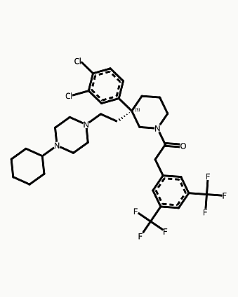 O=C(Cc1cc(C(F)(F)F)cc(C(F)(F)F)c1)N1CCC[C@](CCN2CCN(C3CCCCC3)CC2)(c2ccc(Cl)c(Cl)c2)C1